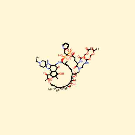 CCC(=O)OCOC(=O)NCCN(CC(=O)O[C@@H]1[C@@H](C)[C@@H](O)[C@@H](C)[C@H](OC(C)=O)[C@H](C)[C@@H](OC)/C=C/O[C@@]2(C)Oc3c(C)c(O)c4c(c3C2=O)C2=NC3(CCN(CC(C)C)CC3)NC2=C(NC(=O)/C(C)=C\C=C\[C@@H]1C)C4=O)C(=O)C(CCC(=O)OC(Cc1ccccn1)(P(=O)(O)O)P(=O)(O)O)NC(=O)OCOC(=O)CC